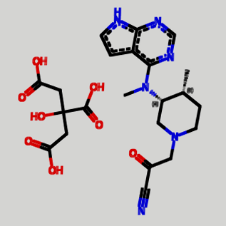 C[C@@H]1CCN(CC(=O)C#N)C[C@@H]1N(C)c1ncnc2[nH]ccc12.O=C(O)CC(O)(CC(=O)O)C(=O)O